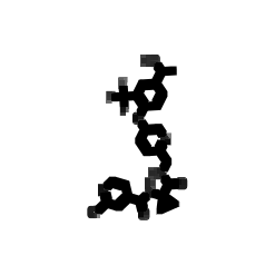 CC(O)c1ccc(Oc2ccc(CNC(=O)C3(NC(=O)c4ccnc(Cl)c4)CC3)nc2)c(C(F)(F)F)c1